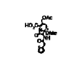 COC12SCC(COC(C)=O)=C(C(=O)O)N1C(=O)C2NC(=O)Cc1cccs1